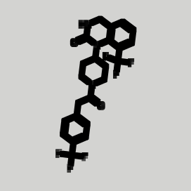 O=C(Cc1ccc(C(F)(F)F)cc1)N1CCC(N2C(=O)NCc3cccc(C(F)(F)F)c32)CC1